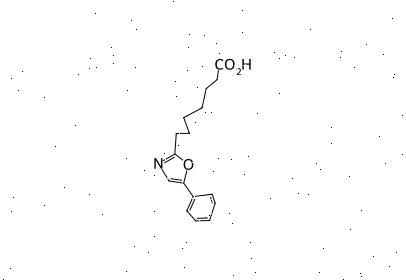 O=C(O)CCCCCCc1ncc(-c2ccccc2)o1